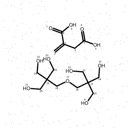 C=C(CC(=O)O)C(=O)O.OCC(CO)(CO)COCC(CO)(CO)CO